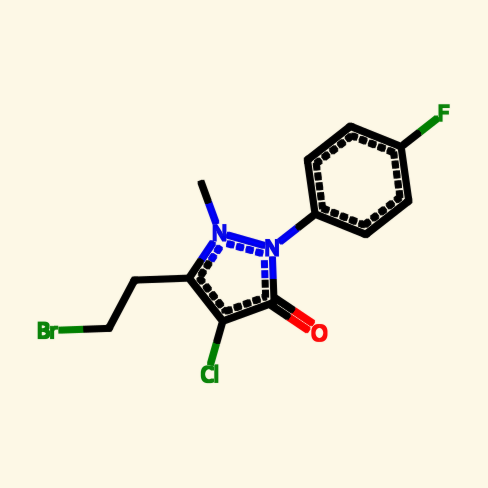 Cn1c(CCBr)c(Cl)c(=O)n1-c1ccc(F)cc1